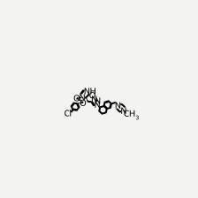 CN1CCN(Cc2ccc3c(c2)CCC[C@H]3n2cc(C[C@@H]3C(=O)NC=CN3S(=O)(=O)c3ccc(Cl)cc3)nn2)CC1